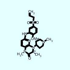 C=CCS(=O)(=O)c1ccc(OC)c(Nc2ccc3c(n2)N(C2CCN(C)CC2)[C@H](C)C(=O)N3C)c1